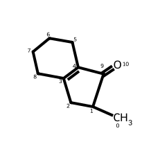 CC1CC2=C(CCCC2)C1=O